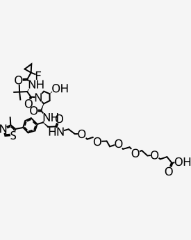 Cc1ncsc1-c1ccc([C@H](CC(=O)NCCOCCOCCOCCOCCOCCC(=O)O)NC(=O)[C@@H]2C[C@@H](O)CN2C(=O)[C@@H](NC(=O)C2(F)CC2)C(C)(C)C)cc1